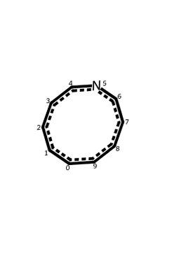 c1ccccncccc1